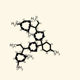 CCC(c1ccc(C2(c3ccc(C(CC)c4ccc(N)cc4C)cc3)CCC(C)CC2)cc1)c1ccc(N)cc1C